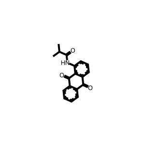 CC(C)C(=O)Nc1cccc2c1C(=O)c1ccccc1C2=O